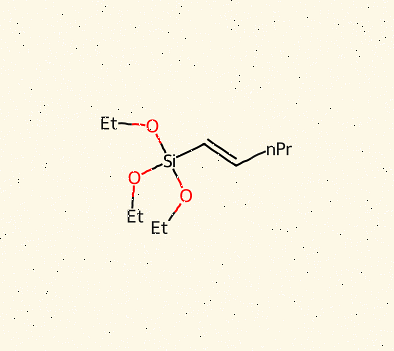 CCCC=C[Si](OCC)(OCC)OCC